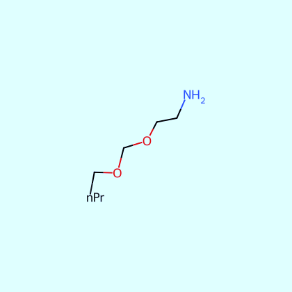 CCCCOCOCCN